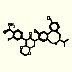 CC(C)[C@@H]1Cc2ccc(Cl)cc2-c2cc(=O)n([C@@H](C[C@@H]3COCCO3)C(=O)Nc3ccc(C(N)=O)c(F)c3)cc2CO1